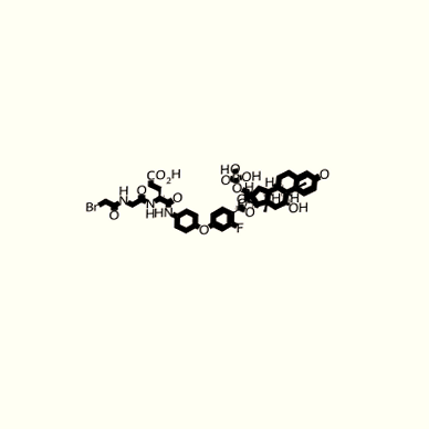 C[C@]12C=CC(=O)C=C1CC[C@@H]1[C@@H]2[C@@H](O)C[C@@]2(C)[C@H]1C[C@H]1O[C@@H](c3ccc(OC4CCC(NC(=O)[C@H](CCC(=O)O)NC(=O)CNC(=O)CBr)CC4)cc3F)O[C@]12C(=O)COP(=O)(O)O